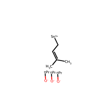 CC(C)=C[CH2][Sn+3].CCC[O-].CCC[O-].CCC[O-]